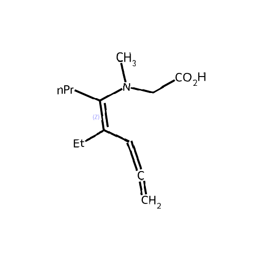 C=C=C/C(CC)=C(/CCC)N(C)CC(=O)O